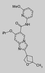 COc1cccc(NC(=O)c2cn3cc(C45COC(C)(C4)C5)nc3cc2OC(C)C)n1